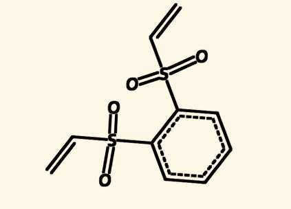 C=CS(=O)(=O)c1ccccc1S(=O)(=O)C=C